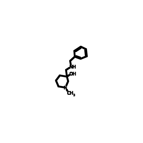 CN1CCCC(O)(CNCc2ccccc2)C1